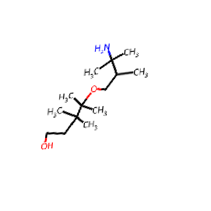 CC(COC(C)(C)C(C)(C)CCO)C(C)(C)N